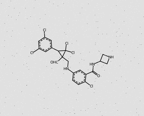 O=CC1(CNc2ccc(Cl)c(C(=O)NC3CNC3)c2)C(c2cc(Cl)cc(Cl)c2)C1(Cl)Cl